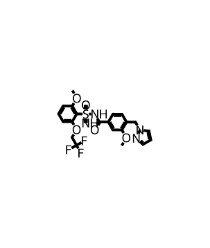 COc1cc(C(=O)NS(=N)(=O)c2c(OC)cccc2OCC(F)(F)F)ccc1Cn1cccn1